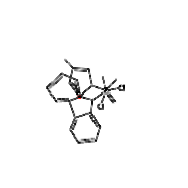 [CH2]=[Zr]([CH3])([CH3])([Cl])([Cl])([CH]1C=CC(C)=C1)[CH]1c2ccccc2-c2ccccc21